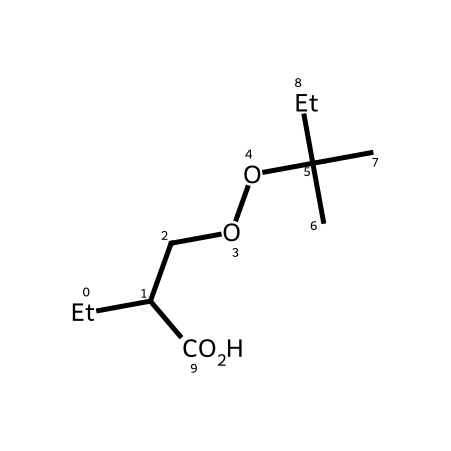 CCC(COOC(C)(C)CC)C(=O)O